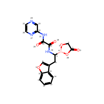 O=C1COB(C(Cc2coc3ccccc23)NC(=O)C(=O)Nc2cnccn2)O1